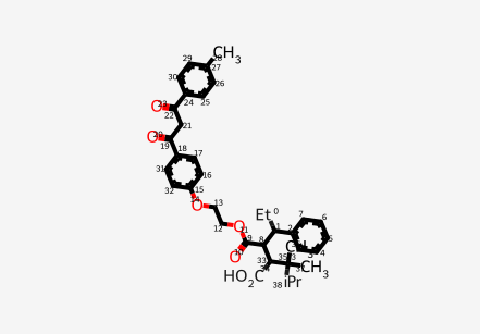 CCC(c1ccccc1)C(C(=O)OCCOc1ccc(C(=O)CC(=O)c2ccc(C)cc2)cc1)C(C(=O)O)C(C)(C)C(C)C